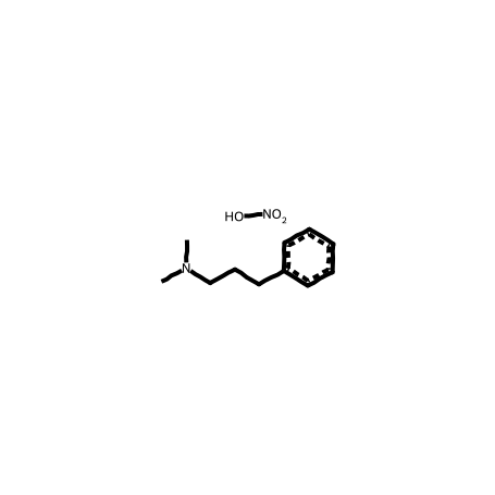 CN(C)CCCc1ccccc1.O=[N+]([O-])O